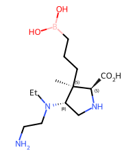 CCN(CCN)[C@H]1CN[C@H](C(=O)O)[C@]1(C)CCCB(O)O